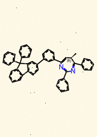 C[C@@H]1C=C(c2cccc(-c3ccc4c(c3)C(c3ccccc3)(c3ccccc3)c3ccccc3-4)c2)N=C(c2ccccc2)N=C1c1ccccc1